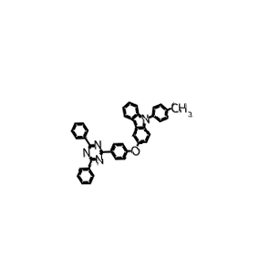 Cc1ccc(-n2c3ccccc3c3cc(Oc4ccc(-c5nc(-c6ccccc6)nc(-c6ccccc6)n5)cc4)ccc32)cc1